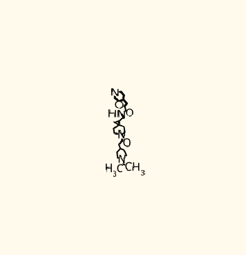 CC(C)N1CCC(CC(=O)N2CCC3(CC2)CC3CNC(=O)c2cc3ccncc3o2)CC1